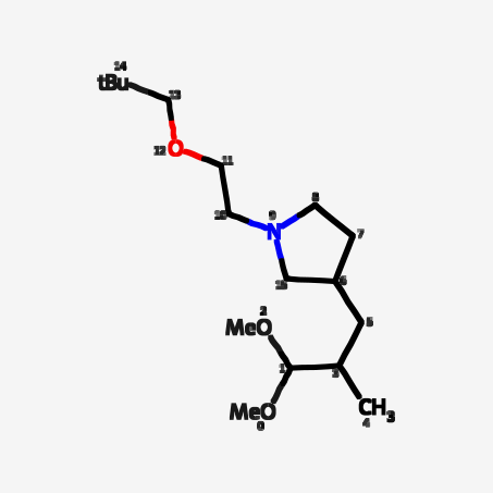 COC(OC)C(C)CC1CCN(CCOCC(C)(C)C)C1